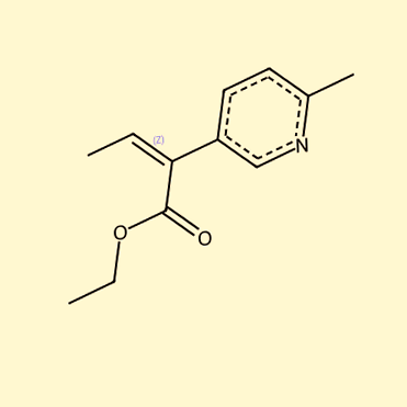 C/C=C(\C(=O)OCC)c1ccc(C)nc1